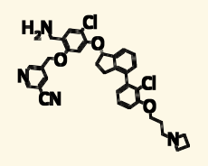 N#Cc1cncc(COc2cc(O[C@H]3CCc4c(-c5cccc(OCCCN6CCC6)c5Cl)cccc43)c(Cl)cc2CN)c1